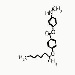 CCCCCCC(C)Oc1ccc(C(=O)Oc2ccc(NC)cc2)cc1